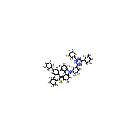 c1ccc(-c2ccc3c(c2)-c2cccc4c2c2c5c-3c(-c3ccccc3)sc5ccc2n4-c2cccc(-c3nc(-c4ccccc4)nc(-c4ccccc4)n3)c2)cc1